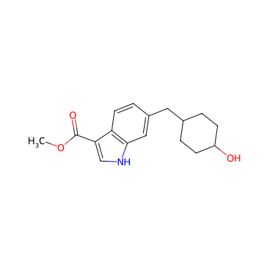 COC(=O)c1c[nH]c2cc(CC3CCC(O)CC3)ccc12